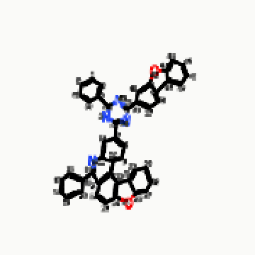 c1ccc(-c2nc(-c3ccc4c(c3)nc(-c3ccccc3)c3ccc5oc6ccccc6c5c34)nc(-c3ccc4c(c3)oc3ccccc34)n2)cc1